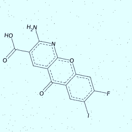 Nc1nc2oc3cc(F)c(I)cc3c(=O)c2cc1C(=O)O